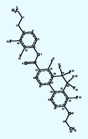 CCCc1ccc(OC(=O)c2ccc3c(c2F)C(F)(F)C(F)(F)c2c-3ccc(OCC)c2F)c(F)c1F